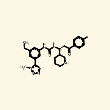 CCc1cc(NC(=O)N[C@@H](CC(=O)c2ccc(F)cc2)C2CCCNC2)cc(-c2nnnn2C)c1